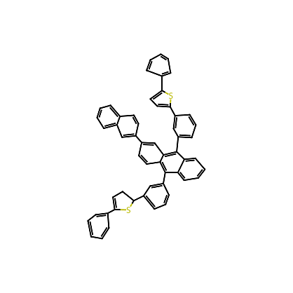 C1=C(c2ccccc2)SC(c2cccc(-c3c4ccccc4c(-c4cccc(-c5ccc(-c6ccccc6)s5)c4)c4cc(-c5ccc6ccccc6c5)ccc34)c2)C1